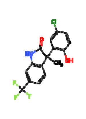 CC1(c2cc(Cl)ccc2O)C(=O)Nc2cc(C(F)(F)F)ccc21